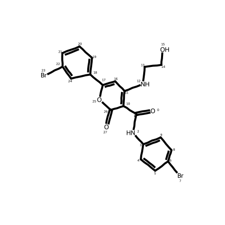 O=C(Nc1ccc(Br)cc1)c1c(NCCO)cc(-c2cccc(Br)c2)oc1=O